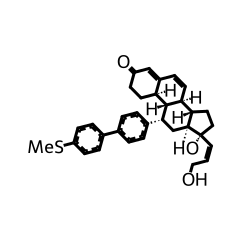 CSc1ccc(-c2ccc([C@H]3C[C@@]4(C)[C@@H](CC[C@@]4(O)/C=C\CO)[C@@H]4C=CC5=CC(=O)CC[C@@H]5[C@H]43)cc2)cc1